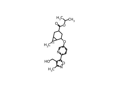 Cc1noc(-c2ccc(OC3CC(C(=O)OC(C)C)CC4C3[C@H]4C)cn2)c1CO